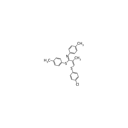 CC(=CSc1ccc(Cl)cc1)C(=Nc1ccc(C)cc1)Sc1ccc(C)cc1